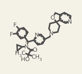 CC(C)(O)C(=O)N(C1CC1)[C@@H](c1ccc(F)c(F)c1)c1ccc(CN2CCC3(CC2)OCc2ccncc23)cn1